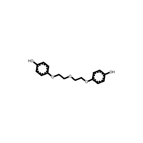 Oc1ccc(OCCOCCOc2ccc(O)cc2)cc1